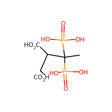 CC(C(CC(=O)O)C(=O)O)(P(=O)(O)O)P(=O)(O)O